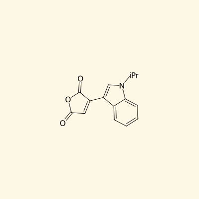 CC(C)n1cc(C2=CC(=O)OC2=O)c2ccccc21